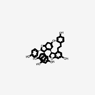 OC1=CC([C@H]2c3c(CCc4ccc(O)cc4)cc(O)cc3O[C@@H]2c2ccc(O)cc2)=C2C(C1)O[C@@H](c1ccc(O)cc1)[C@@H]2c1cc(O)cc(O)c1